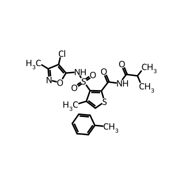 Cc1ccccc1.Cc1csc(C(=O)NC(=O)C(C)C)c1S(=O)(=O)Nc1onc(C)c1Cl